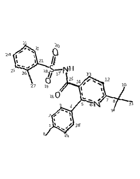 Cc1ccc(-c2nc(C(C)(C)C)ccc2C(=O)NS(=O)(=O)c2ccccc2C)cc1